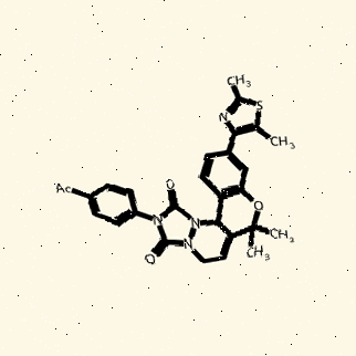 CC(=O)c1ccc(-n2c(=O)n3n(c2=O)C2C(=CC3)C(C)(C)Oc3cc(-c4nc(C)sc4C)ccc32)cc1